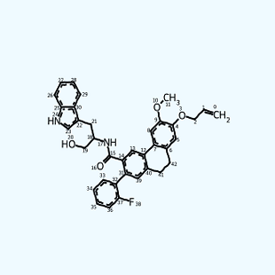 C=CCOc1cc2c(cc1OC)-c1cc(C(=O)NC(CO)Cc3c[nH]c4ccccc34)c(-c3ccccc3F)cc1CC2